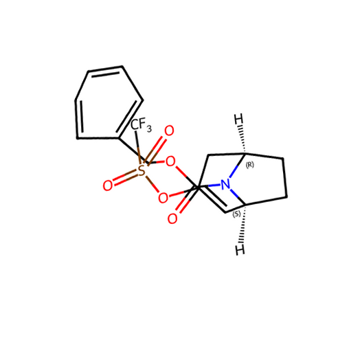 O=C(OCc1ccccc1)N1[C@@H]2CC[C@H]1C=C(OS(=O)(=O)C(F)(F)F)C2